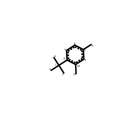 [CH2]C(C)(C)c1ccc(C)cc1C